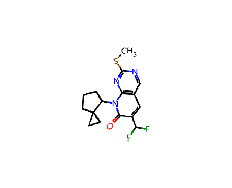 CSc1ncc2cc(C(F)F)c(=O)n(C3CCCC34CC4)c2n1